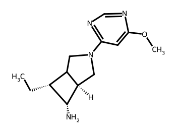 CC[C@@H]1C2CN(c3cc(OC)ncn3)C[C@H]2[C@@H]1N